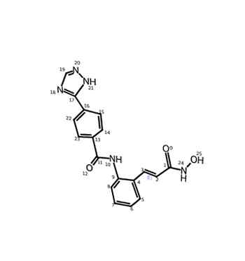 O=C(/C=C/c1ccccc1NC(=O)c1ccc(-c2ncn[nH]2)cc1)NO